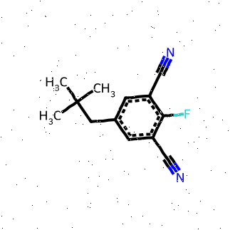 CC(C)(C)Cc1cc(C#N)c(F)c(C#N)c1